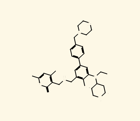 CCN(c1cc(-c2ccc(CN3CCNCC3)cc2)cc(CNCc2c(C)cc(C)[nH]c2=O)c1C)C1CCOCC1